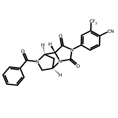 N#Cc1ccc(N2C(=O)[C@H]3[C@H]4C[C@H](CN4C(=O)c4ccccc4)N3C2=O)cc1C(F)(F)F